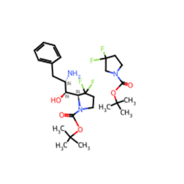 CC(C)(C)OC(=O)N1CCC(F)(F)C1.CC(C)(C)OC(=O)N1CCC(F)(F)[C@@H]1[C@@H](O)[C@@H](N)Cc1ccccc1